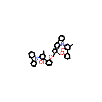 Cc1cc(-c2ccccc2OCC2CCC[C@H]2COc2ccccc2-c2cc(C)cc(-n3c4ccccc4c4ccccc43)c2O)c(O)c(-n2c3ccccc3c3ccccc32)c1